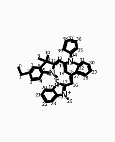 CCc1ccc2c(c1)C(C)(C)/C(=C/C1=CC(=Cc3sc4ccccc4[n+]3C)c3ccccc3N1c1ccccc1)N2C